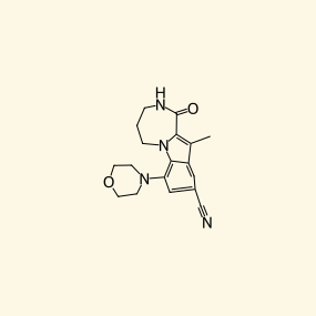 Cc1c2n(c3c(N4CCOCC4)cc(C#N)cc13)CCCNC2=O